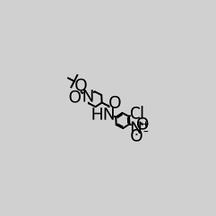 CC(C)(C)OC(=O)N1CCC(C(=O)Nc2ccc([N+](=O)[O-])c(Cl)c2)CC1